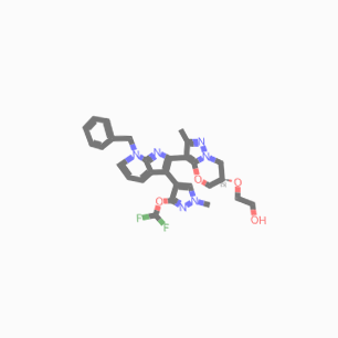 Cc1nn2c(c1-c1nc3n(Cc4ccccc4)cccc-3c1-c1cn(C)nc1OC(F)F)OC[C@@H](OCCO)C2